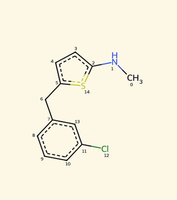 CNc1ccc(Cc2cccc(Cl)c2)s1